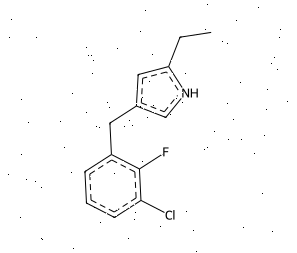 CCc1cc(Cc2cccc(Cl)c2F)c[nH]1